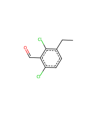 CCc1ccc(Cl)c(C=O)c1Cl